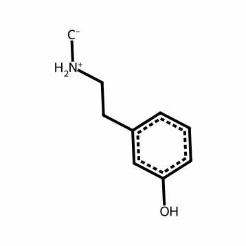 [CH2-][NH2+]CCc1cccc(O)c1